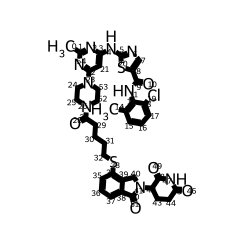 Cc1nc(Nc2ncc(C(=O)Nc3c(C)cccc3Cl)s2)cc(N2CCN(C(=O)CCCCSc3cccc4c3CN(C3CCC(=O)NC3=O)C4=O)CC2)n1